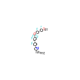 CCCCCc1ccc(-c2ccc(-c3cc(F)c(C(F)(F)Oc4ccc(-c5ccc(OCC)c(F)c5)c(F)c4)c(F)c3)c(F)c2)nc1